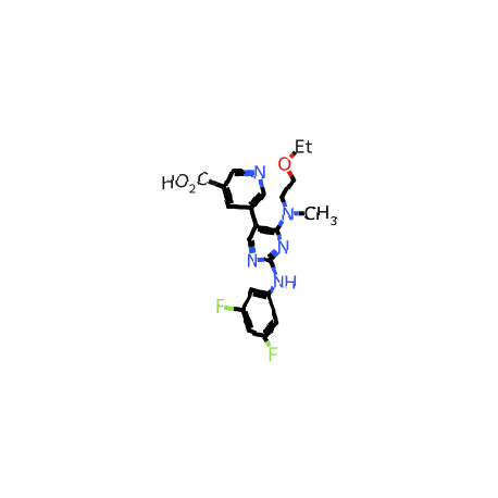 CCOCCN(C)c1nc(Nc2cc(F)cc(F)c2)ncc1-c1cncc(C(=O)O)c1